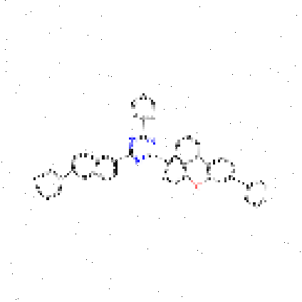 c1ccc(-c2ccc3c(c2)Oc2ccc(-c4nc(-c5ccccc5)nc(-c5ccc6cc(-c7ccccc7)ccc6c5)n4)c4cccc-3c24)cc1